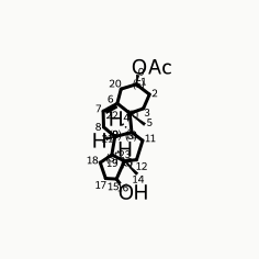 CC(=O)O[C@H]1CC[C@@]2(C)C(=CC[C@@H]3[C@@H]2CC[C@]2(C)C(O)CC[C@@H]32)C1